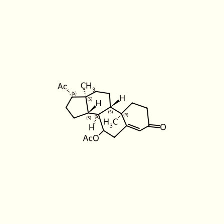 CC(=O)OC1CC2=CC(=O)CC[C@]2(C)[C@H]2CC[C@]3(C)[C@@H](C(C)=O)CC[C@H]3[C@H]12